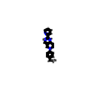 CCOC(=O)c1ccc(N2CCc3nc(-c4ccccn4)ncc3C2)cc1